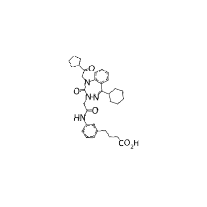 O=C(O)CCCc1cccc(NC(=O)CN2N=C(C3CCCCC3)c3ccccc3N(CC(=O)C3CCCC3)C2=O)c1